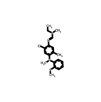 CCN(C)C=Nc1cc(C)c(N(C)c2ccccc2SC)cc1Cl